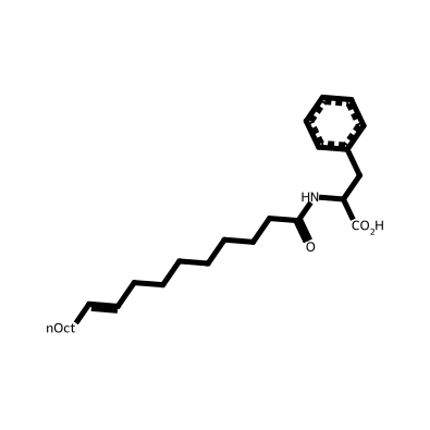 CCCCCCCC/C=C/CCCCCCCC(=O)NC(Cc1ccccc1)C(=O)O